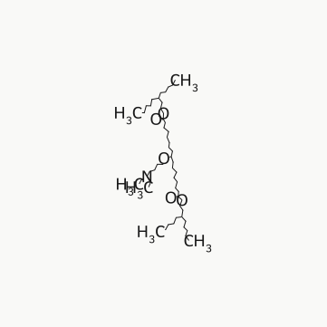 CCCCCC(CCCCC)CCOC(=O)CCCCCCCC(CCCCCCCC(=O)OCCC(CCCCC)CCCCC)OCCCCN(CC)CC